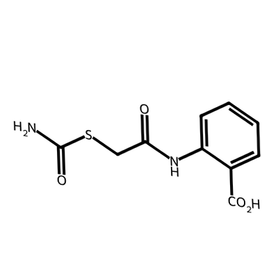 NC(=O)SCC(=O)Nc1ccccc1C(=O)O